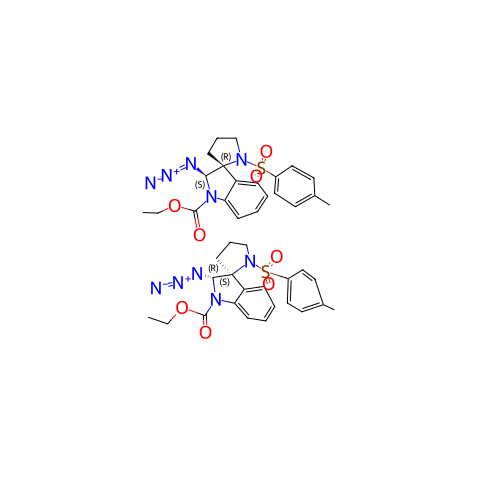 CCOC(=O)N1c2ccccc2[C@@]2(CCCN2S(=O)(=O)c2ccc(C)cc2)[C@H]1N=[N+]=[N-].CCOC(=O)N1c2ccccc2[C@]2(CCCN2S(=O)(=O)c2ccc(C)cc2)[C@@H]1N=[N+]=[N-]